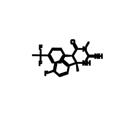 CN1C(=N)N[C@](C)(c2ccc(F)cc2)[C@@H](c2ccc(C(C)(F)F)cc2)C1=O